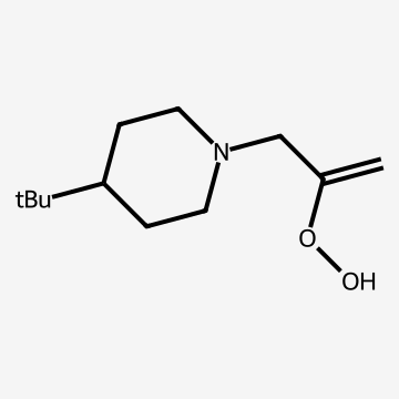 C=C(CN1CCC(C(C)(C)C)CC1)OO